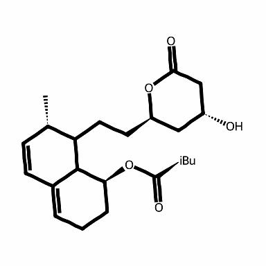 CC[C@H](C)C(=O)O[C@H]1CCC=C2C=C[C@H](C)C(CC[C@@H]3C[C@@H](O)CC(=O)O3)C21